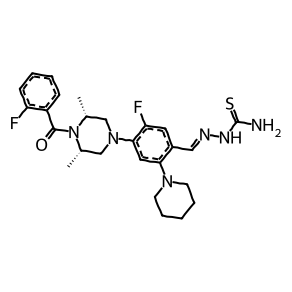 C[C@@H]1CN(c2cc(N3CCCCC3)c(C=NNC(N)=S)cc2F)C[C@H](C)N1C(=O)c1ccccc1F